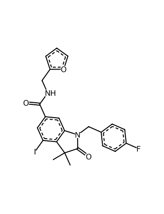 CC1(C)C(=O)N(Cc2ccc(F)cc2)c2cc(C(=O)NCc3ccco3)cc(I)c21